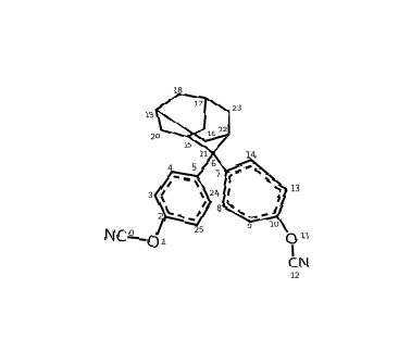 N#COc1ccc(C2(c3ccc(OC#N)cc3)C3CC4CC(C3)CC2C4)cc1